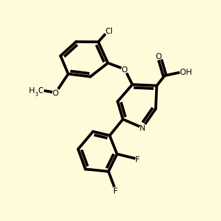 COc1ccc(Cl)c(Oc2cc(-c3cccc(F)c3F)ncc2C(=O)O)c1